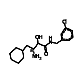 N[C@H](CC1CCCCC1)C(O)C(=O)NCc1cccc(Cl)c1